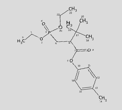 CCOP(=O)(CC(C(=O)Oc1ccc(C)cc1)C(C)(C)C)OCC